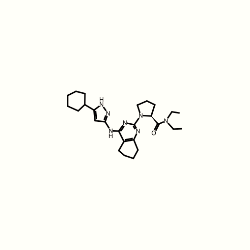 CCN(CC)C(=O)[C@@H]1CCCN1c1nc2c(c(Nc3cc(C4CCCCC4)[nH]n3)n1)CCCC2